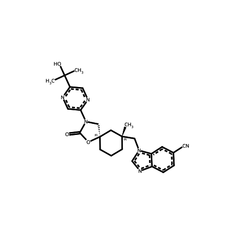 CC(C)(O)c1cnc(N2C[C@]3(CCC[C@@](C)(Cn4cnc5ccc(C#N)cc54)C3)OC2=O)cn1